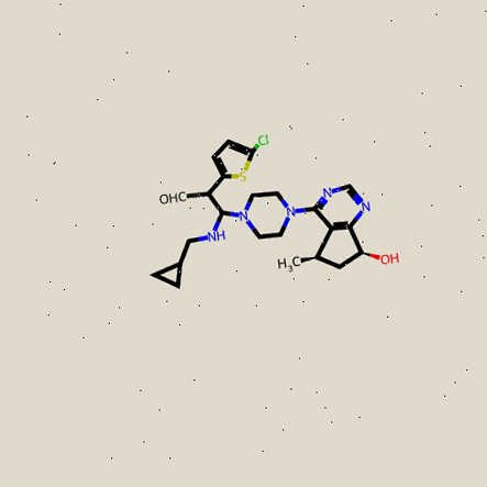 C[C@@H]1C[C@H](O)c2ncnc(N3CCN(C(NCC4CC4)C(C=O)c4ccc(Cl)s4)CC3)c21